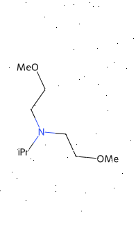 COCCN(CCOC)C(C)C